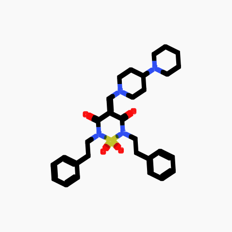 O=C1C(=CN2CCC(N3CCCCC3)CC2)C(=O)N(CCc2ccccc2)S(=O)(=O)N1CCc1ccccc1